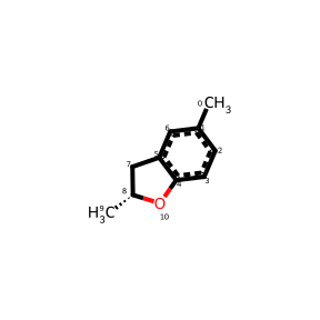 Cc1ccc2c(c1)C[C@@H](C)O2